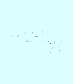 O=C(NC[C@H](O)c1ccc([N+](=O)[O-])cc1)C(Cl)Cl